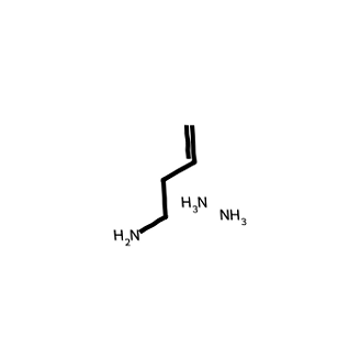 C=CCCN.N.N